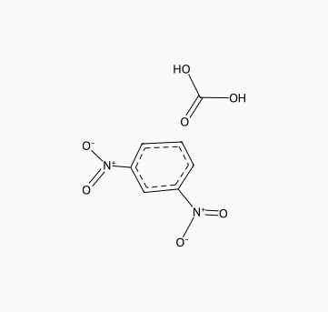 O=C(O)O.O=[N+]([O-])c1cccc([N+](=O)[O-])c1